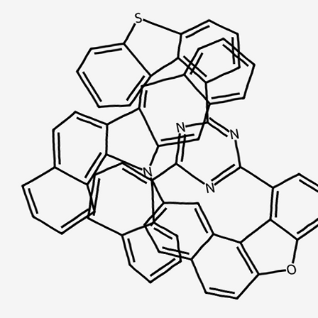 c1ccc2cc3c(cc2c1)c1ccc2ccccc2c1n3-c1ccc2ccc3oc4cccc(-c5nc(-c6cccc7ccccc67)nc(-c6cccc7sc8ccccc8c67)n5)c4c3c2c1